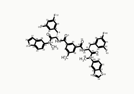 Cc1cc(C(=O)N[C@@H](Cc2cc(F)cc(F)c2)C(=O)N(C)c2ccc3sccc3c2)cc(C(=O)N[C@@H](Cc2cc(F)cc(F)c2)C(=O)N(C)c2ccc3scnc3c2)c1